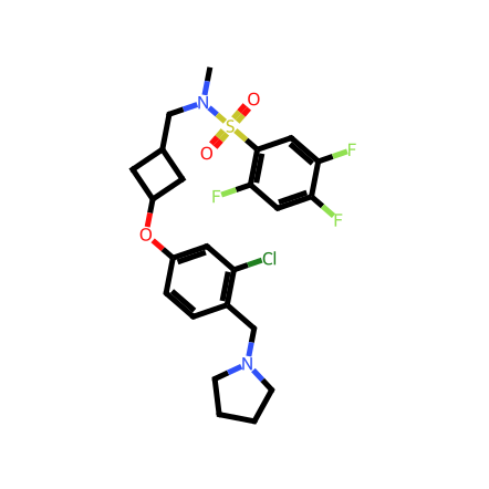 CN(CC1CC(Oc2ccc(CN3CCCC3)c(Cl)c2)C1)S(=O)(=O)c1cc(F)c(F)cc1F